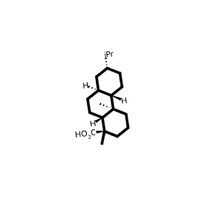 CC(C)[C@@H]1CC[C@H]2[C@@H](CC[C@@H]3[C@]2(C)CCC[C@@]3(C)C(=O)O)C1